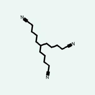 N#CCCCCC(CCCCC#N)CCCCC#N